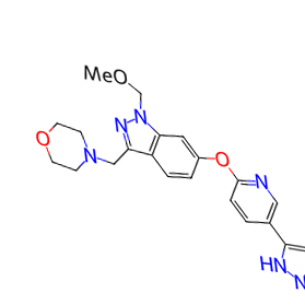 COCn1nc(CN2CCOCC2)c2ccc(Oc3ccc(-c4ccn[nH]4)cn3)cc21